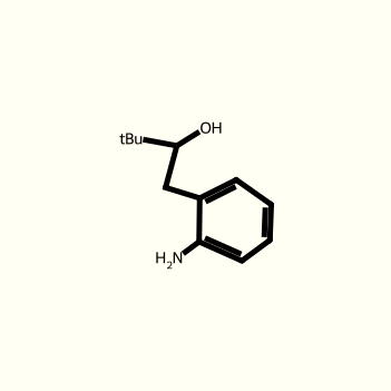 CC(C)(C)C(O)Cc1ccccc1N